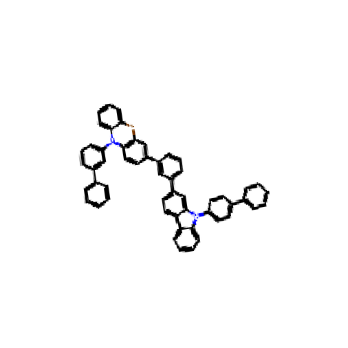 c1ccc(-c2ccc(-n3c4ccccc4c4ccc(-c5cccc(-c6ccc7c(c6)Sc6ccccc6N7c6cccc(-c7ccccc7)c6)c5)cc43)cc2)cc1